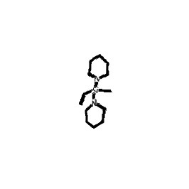 C=C[Si](C)(N1CCCCC1)N1CCCCC1